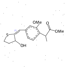 COC(=O)C(C)c1ccc(/C=C2/SCCC2O)cc1OC